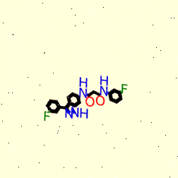 O=C(CC(=O)Nc1ccc2c(-c3cccc(F)c3)n[nH]c2c1)Nc1cccc(F)c1